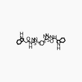 CN1N=C(NC(=O)Cc2c[nH]c3ccccc23)SC1[C@@H]1CCC[C@H](c2nnc(NC(=O)Cc3c[nH]c4ccccc34)s2)C1